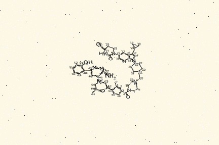 Cc1cc(C(=O)N2CCN(CC3CCC(n4cc(C5CC5)c5cc(N6CCC(=O)NC6=O)cnc54)CC3)CC2)ccc1[C@@H]1CN(c2cc(-c3ccccc3O)nnc2N)C[C@H](C)O1